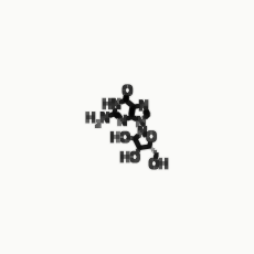 Nc1nc2c(ncn2N2O[C@H](CO)[C@@H](O)[C@H]2O)c(=O)[nH]1